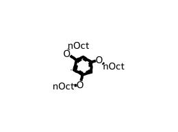 CCCCCCCCOc1[c]c(OCCCCCCCC)cc(OCCCCCCCC)c1